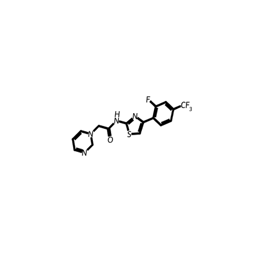 O=C(CN1C=CC=NC1)Nc1nc(-c2ccc(C(F)(F)F)cc2F)cs1